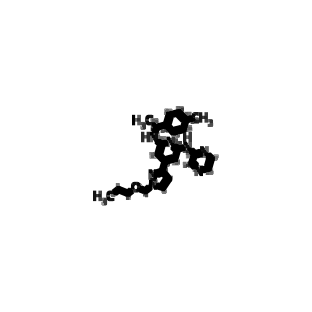 CCCOCn1ccc(-c2cc(Nc3cnccn3)nc(N[C@@H](C)c3ccc(C)cc3)c2)n1